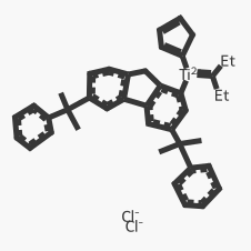 CC[C](CC)=[Ti+2]([C]1=CC=CC1)[c]1cc(C(C)(C)c2ccccc2)cc2c1Cc1ccc(C(C)(C)c3ccccc3)cc1-2.[Cl-].[Cl-]